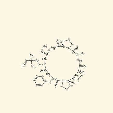 C=CC(C)(C)OC[C@@H]1NC(=O)[C@H]([C@@H](C)CC)NC(=O)[C@@H]2CCCN2C(=O)[C@H]([C@@H](C)CC)NC(=O)[C@@H]2CSC(=N2)[C@@H]2CCCN2C(=O)[C@H](Cc2ccccc2)NC1=O